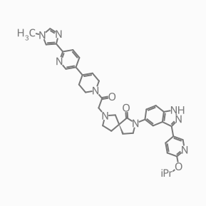 CC(C)Oc1ccc(-c2n[nH]c3ccc(N4CC[C@]5(CCN(CC(=O)N6CC=C(c7ccc(-c8cn(C)cn8)nc7)CC6)C5)C4=O)cc23)cn1